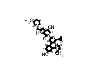 C[C@H]1CCCN(Cc2cc3c(C#N)cn(-c4cc(-c5ccc(C#N)cc5-c5nccn5C)cc(C5CC5)n4)c(=O)c3[nH]2)C1